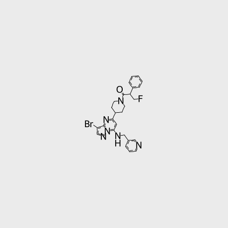 O=C(C(CF)c1ccccc1)N1CCC(c2cc(NCc3cccnc3)n3ncc(Br)c3n2)CC1